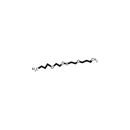 C=CCCOCCSOCCOCCCC